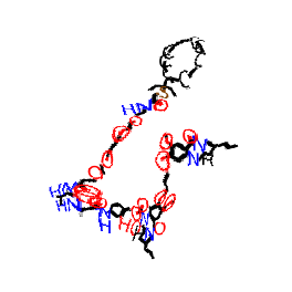 C/C=C/C1=CN2C(=O)c3cc(OC)c(OCCCOc4cc5c(cc4OC)C(=O)N4C=C(/C=C/C)C[C@H]4[C@H](O)N5C(=O)OCc4ccc(NC(=O)[C@H](C)NC(=O)[C@@H](NC(=O)CCOCCOCCOCCOCCNC(=O)CSC(CC)(CC)CC5(C)CCCCCCCCCCCCCC5)C(C)C)cc4)cc3N=C[C@@H]2C1